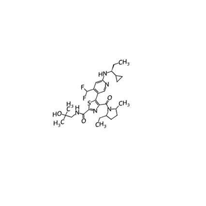 CCC1CCC(C)N1C(=O)c1nc(C(=O)NCC(C)(C)O)sc1-c1cnc(N[C@@H](CC)C2CC2)cc1C(F)F